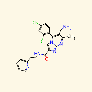 Cc1nc2nc(C(=O)NCCc3ccccn3)cn2c(-c2ccc(Cl)cc2Cl)c1CN